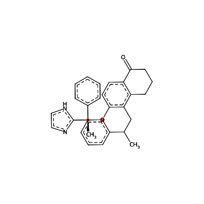 CC(Cc1c(O[C@@](C)(c2ccccc2)c2ncc[nH]2)ccc2c1CCCC2=O)c1ccccc1